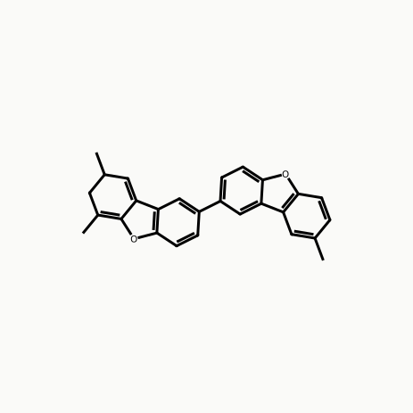 CC1=c2oc3ccc(-c4ccc5oc6ccc(C)cc6c5c4)cc3c2=CC(C)C1